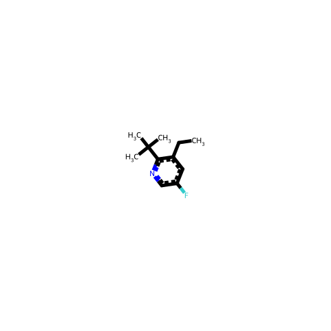 CCc1cc(F)cnc1C(C)(C)C